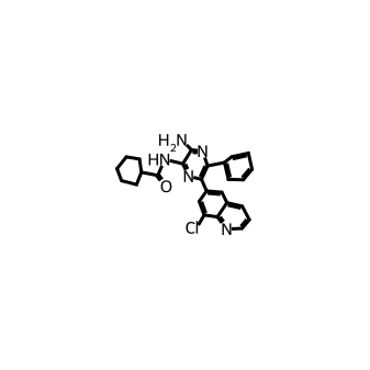 Nc1nc(-c2ccccc2)c(-c2cc(Cl)c3ncccc3c2)nc1NC(=O)C1CCCCC1